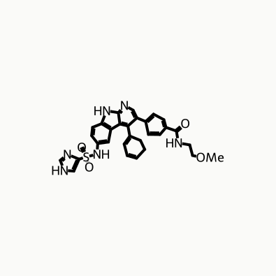 COCCNC(=O)c1ccc(-c2cnc3[nH]c4ccc(NS(=O)(=O)c5c[nH]cn5)cc4c3c2C2=CC=CCC2)cc1